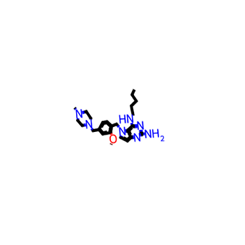 CCCCCNc1nc(N)nc2ccn(Cc3ccc(CN4CCN(C)CC4)cc3OC)c12